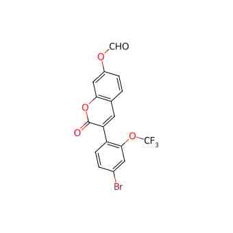 O=COc1ccc2cc(-c3ccc(Br)cc3OC(F)(F)F)c(=O)oc2c1